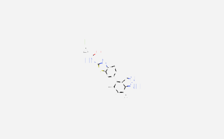 CC(=O)c1c(F)c(C)c(-c2ccc3nc(NC(=O)[C@@H]4C[C@@H]4F)sc3c2)c2cn[nH]c12